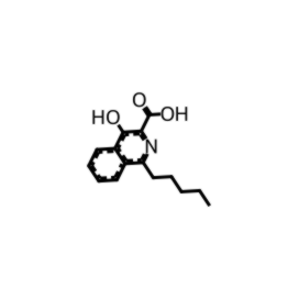 CCCCCc1nc(C(=O)O)c(O)c2ccccc12